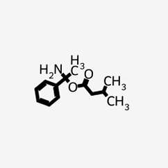 CC(C)CC(=O)OC(C)(N)c1ccccc1